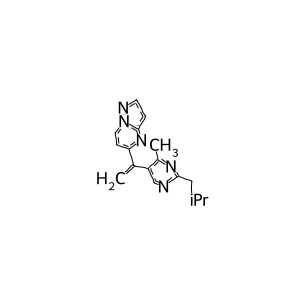 C=C(c1ccn2nccc2n1)c1cnc(CC(C)C)nc1C